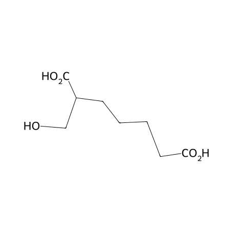 O=C(O)CCCCC(CO)C(=O)O